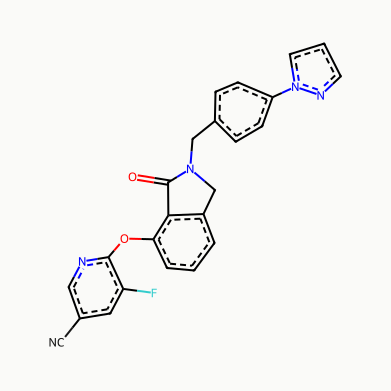 N#Cc1cnc(Oc2cccc3c2C(=O)N(Cc2ccc(-n4cccn4)cc2)C3)c(F)c1